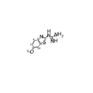 COc1ccc2nc(NC(=N)N)sc2c1